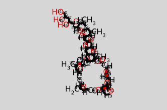 C=C1C[C@@H]2CCO[C@@H]3[C@@H]4CCOC5(C4)C[C@H]4O[C@H](CC[C@@H]4O[C@@H]35)CC(=O)O[C@@H]3[C@@H](C)[C@@H]4O[C@@H]5C[C@]6(C[C@@H]7O[C@]8(C[C@H](C)[C@@H]9O[C@H]([C@@H](O)C[C@@H](O)CO)C[C@@H]9O8)C[C@H](C)[C@@H]7O6)O[C@@H]5C[C@@H]4O[C@H]3C[C@H]3O[C@@H](CC[C@@H]1O2)C[C@@H](C)C3=C